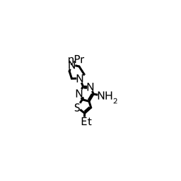 CCCN1CCN(c2nc(N)c3cc(CC)sc3n2)CC1